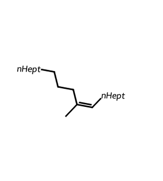 CCCCCCCC=C(C)CCCCCCCCCC